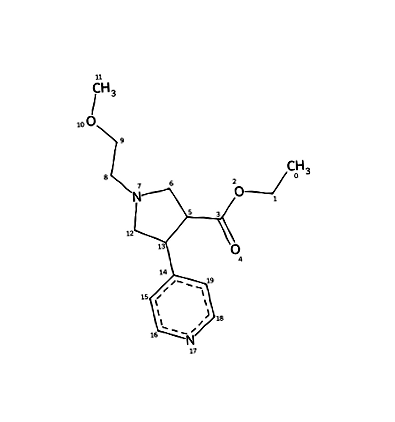 CCOC(=O)C1CN(CCOC)CC1c1ccncc1